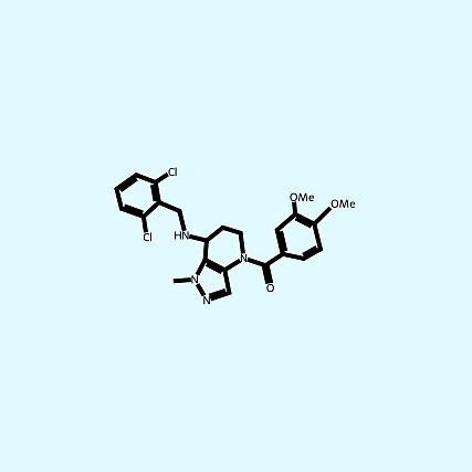 COc1ccc(C(=O)N2CCC(NCc3c(Cl)cccc3Cl)c3c2cnn3C)cc1OC